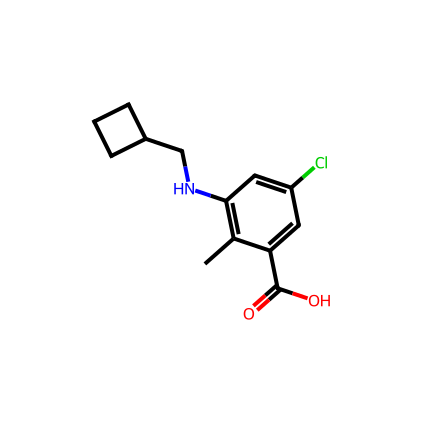 Cc1c(NCC2CCC2)cc(Cl)cc1C(=O)O